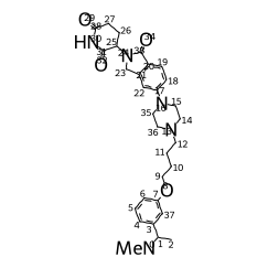 CNC(C)c1cccc(OCCCCN2CCN(c3ccc4c(c3)CN(C3CCC(=O)NC3=O)C4=O)CC2)c1